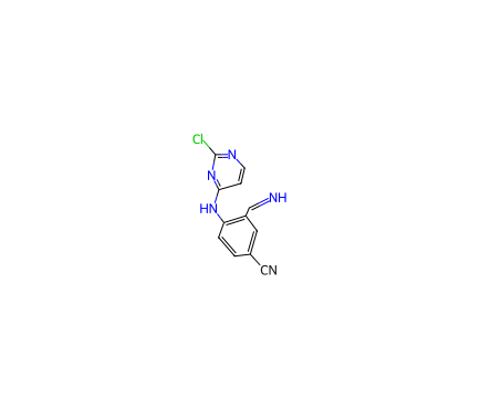 N#Cc1ccc(Nc2ccnc(Cl)n2)c(C=N)c1